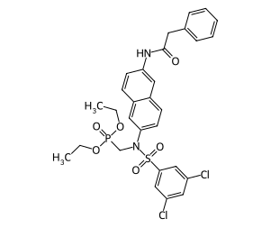 CCOP(=O)(CN(c1ccc2cc(NC(=O)Cc3ccccc3)ccc2c1)S(=O)(=O)c1cc(Cl)cc(Cl)c1)OCC